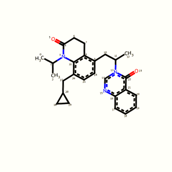 CC(C)N1C(=O)CCc2c(CC(C)n3cnc4ccccc4c3=O)ccc(CC3CC3)c21